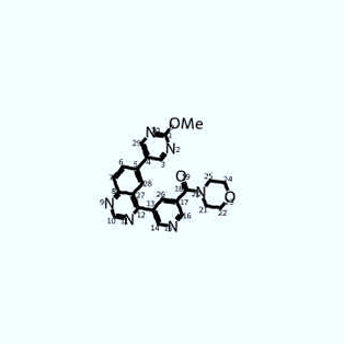 COc1ncc(-c2ccc3ncnc(-c4cncc(C(=O)N5CCOCC5)c4)c3c2)cn1